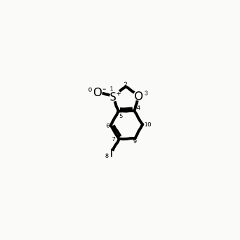 [O-][S+]1COC2=C1C=C(I)CC2